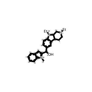 CCN1CCC2c3cc(C(O)c4cc5ccccc5n4C)ccc3N(CC)C2C1